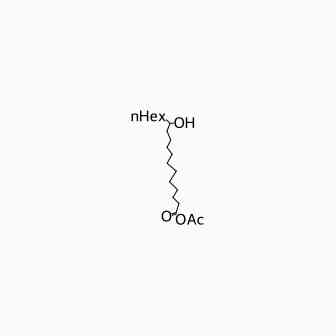 CCCCCCC(O)CCCCCCCCCCC(=O)OC(C)=O